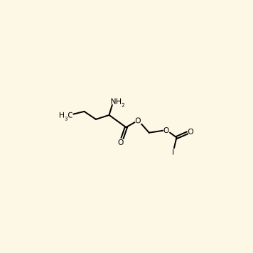 CCCC(N)C(=O)OCOC(=O)I